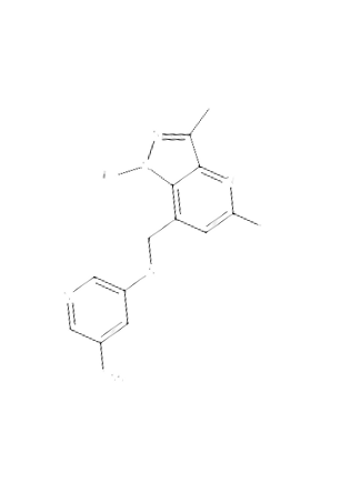 COc1cncc(NCc2cc(Br)nc3c(C)nn(C(C)C)c23)c1